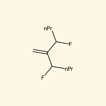 C=C(C(F)CCC)C(F)CCC